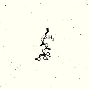 C=CC[SiH2]OC(C)OC(C)OC(COC)(OC)OC